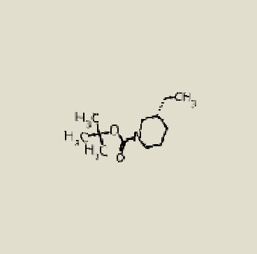 CC[C@@H]1CCCN(C(=O)OC(C)(C)C)C1